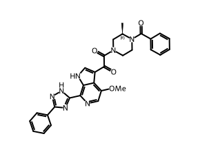 COc1cnc(-c2nc(-c3ccccc3)n[nH]2)c2[nH]cc(C(=O)C(=O)N3CCN(C(=O)c4ccccc4)[C@H](C)C3)c12